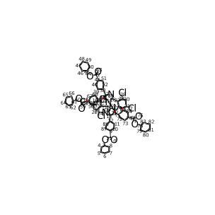 O=C(Oc1ccccc1)c1ccc(C2=NC(c3c(Cl)cc(Cl)cc3Cl)(n3c(-c4c(Cl)cc(Cl)cc4Cl)nc(-c4ccc(C(=O)Oc5ccccc5)cc4)c3-c3ccc(C(=O)Oc4ccccc4)cc3)N=C2c2ccc(C(=O)Oc3ccccc3)cc2)cc1